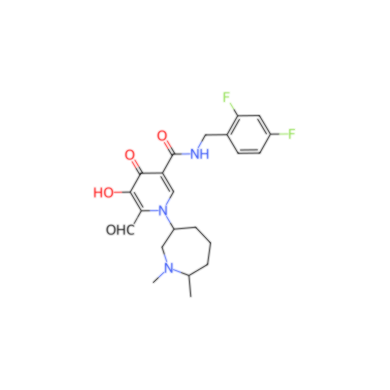 CC1CCCC(n2cc(C(=O)NCc3ccc(F)cc3F)c(=O)c(O)c2C=O)CN1C